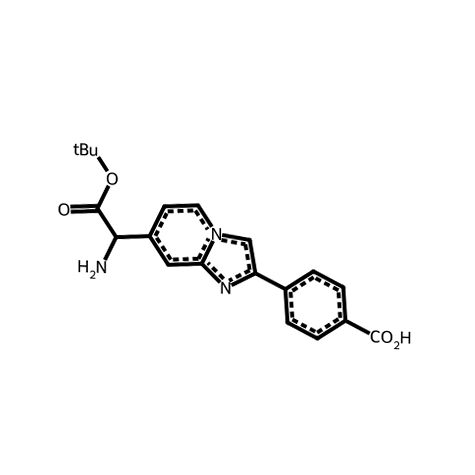 CC(C)(C)OC(=O)C(N)c1ccn2cc(-c3ccc(C(=O)O)cc3)nc2c1